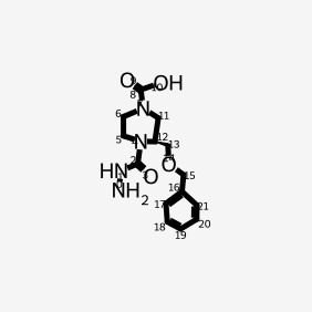 NNC(=O)N1CCN(C(=O)O)C[C@H]1COCc1ccccc1